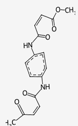 COC(=O)/C=C\C(=O)Nc1ccc(NC(=O)/C=C\C(C)=O)cc1